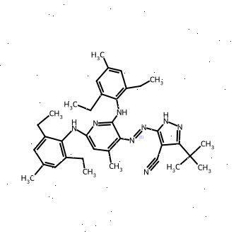 CCc1cc(C)cc(CC)c1Nc1cc(C)c(/N=N/c2[nH]nc(C(C)(C)C)c2C#N)c(Nc2c(CC)cc(C)cc2CC)n1